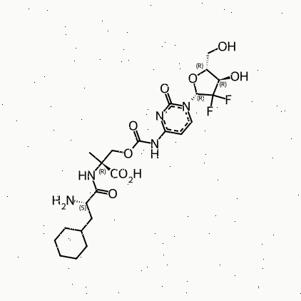 C[C@](COC(=O)Nc1ccn([C@@H]2O[C@H](CO)[C@@H](O)C2(F)F)c(=O)n1)(NC(=O)[C@@H](N)CC1CCCCC1)C(=O)O